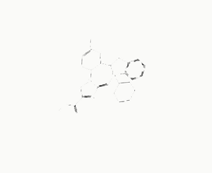 COC(=O)C1=NC2=C[N+]3(C4CCCCC4)c4ccccc4CC3C3CC(C)=CCC3N2C1